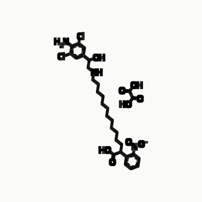 Nc1c(Cl)cc(C(O)CNCCCCCCCCCCCCC(C(=O)O)c2ccccc2[N+](=O)[O-])cc1Cl.O=C(O)C(=O)O